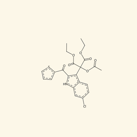 CCOC(=O)C(OC(C)=O)(C(=O)OCC)c1c(C(=O)c2cccs2)[nH]c2cc(Cl)ccc12